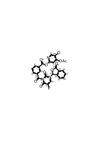 CC(=O)Oc1cc(OC(=O)c2cccc(C(=O)n3c(=O)c(F)cn(C4OC(=O)c5ccccc54)c3=O)c2)ncc1Cl